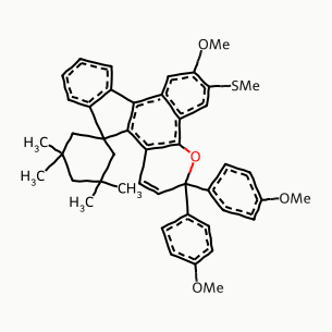 COc1ccc(C2(c3ccc(OC)cc3)C=Cc3c4c(c5cc(OC)c(SC)cc5c3O2)-c2ccccc2C42CC(C)(C)CC(C)(C)C2)cc1